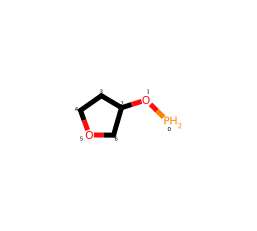 POC1CCOC1